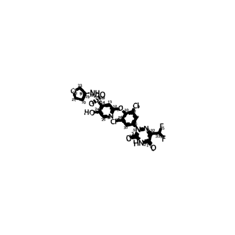 O=c1[nH]c(=O)n(-c2cc(Cl)c(Oc3cc(S(=O)(=O)N[C@@H]4CCOC4)c(O)cn3)c(Cl)c2)nc1C(F)F